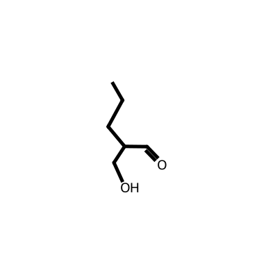 CCCC(C=O)CO